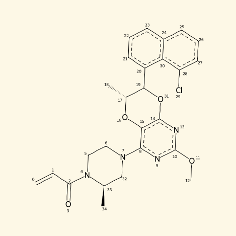 C=CC(=O)N1CCN(c2nc(OC)nc3c2O[C@H](C)C(c2cccc4cccc(Cl)c24)O3)C[C@H]1C